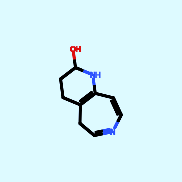 OC1CCC2=C(C=CN=CC2)N1